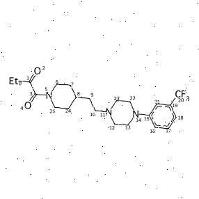 CCC(=O)C(=O)N1CCC(CCN2CCN(c3cccc(C(F)(F)F)c3)CC2)CC1